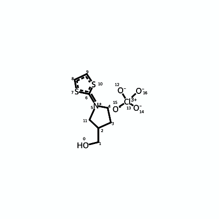 OCC1CC[N+](=c2sccs2)C1.[O-][Cl+3]([O-])([O-])[O-]